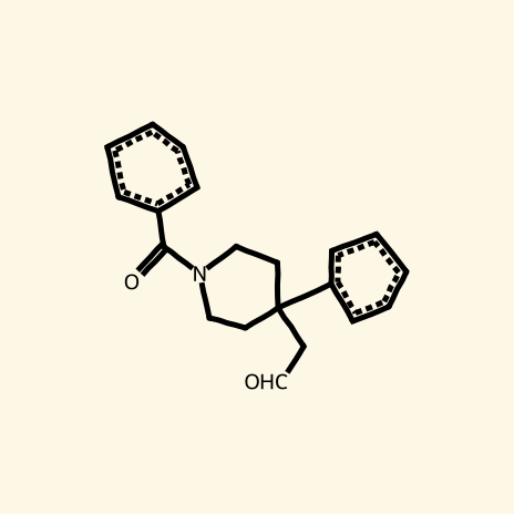 O=CCC1(c2ccccc2)CCN(C(=O)c2ccccc2)CC1